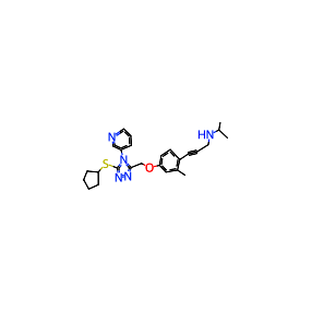 Cc1cc(OCc2nnc(SC3CCCC3)n2-c2cccnc2)ccc1C#CCNC(C)C